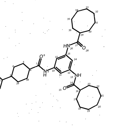 CC(C)C1CCC(C(=O)Nc2cc(NC(=O)C3CCCCCCC3)cc(NC(=O)C3CCCCCCC3)c2)CC1